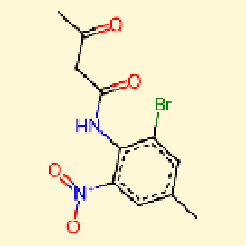 CC(=O)CC(=O)Nc1c(Br)cc(C)cc1[N+](=O)[O-]